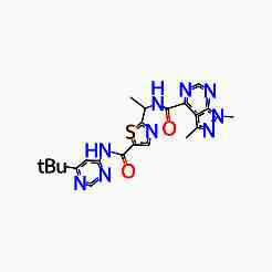 Cc1nn(C)c2ncnc(C(=O)NC(C)c3ncc(C(=O)Nc4cc(C(C)(C)C)ncn4)s3)c12